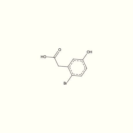 O=C(O)Cc1cc(O)ccc1Br